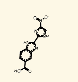 O=C(O)c1ccc2[nH]c(-c3nc([N+](=O)[O-])c[nH]3)nc2c1